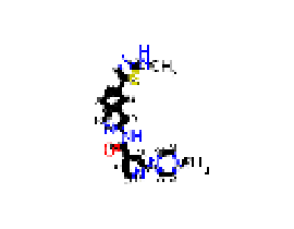 CNc1ncc(-c2ccc3cnc(NC(=O)c4ccnc(N5CCN(C)CC5)c4)cc3c2)s1